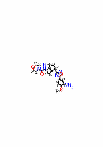 CC(C)Oc1ccc(-c2nc(-c3cccc4c3CC[C@@H]4NC(=O)N3CCOCC3)no2)cc1N